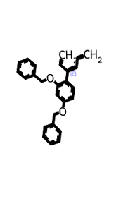 C=C/C=C(\C=C)c1ccc(OCc2ccccc2)cc1OCc1ccccc1